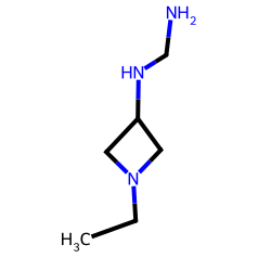 CCN1CC(NCN)C1